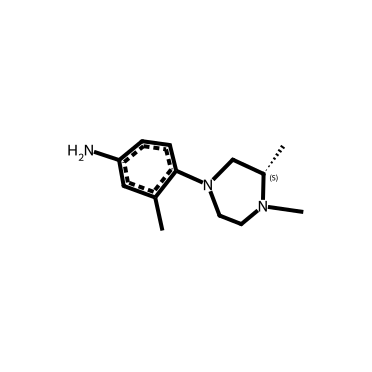 Cc1cc(N)ccc1N1CCN(C)[C@@H](C)C1